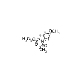 C=CC(=O)N1c2ccc(OC)cc2CC1C(=O)OCC